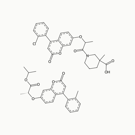 CC(Oc1ccc2c(-c3ccccc3Cl)cc(=O)oc2c1)C(=O)N1CCCC(C)(C(=O)O)C1.Cc1ccccc1-c1cc(=O)oc2cc(O[C@H](C)C(=O)OC(C)C)ccc12